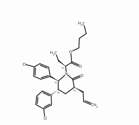 C=CC[C@H]1C[C@H](c2cccc(Cl)c2)[C@@H](c2ccc(Cl)cc2)N([C@@H](CC)C(=O)OCCCC)C1=O